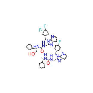 C[C@H](NC(=O)NCc1nc2cccnc2n1Cc1ccc(F)cc1)c1ccccc1.O=C(NCc1nc2cccnc2n1Cc1ccc(F)c(F)c1)N[C@@H](CO)c1ccccc1